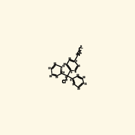 [C-]#[N+]c1ccc(C(Cl)(c2ccccc2)c2ccccc2)cc1